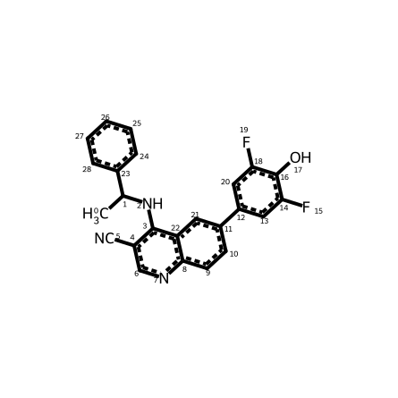 CC(Nc1c(C#N)cnc2ccc(-c3cc(F)c(O)c(F)c3)cc12)c1ccccc1